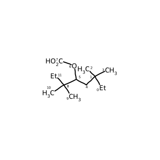 CCC(C)(C)CC(OC(=O)O)C(C)(C)CC